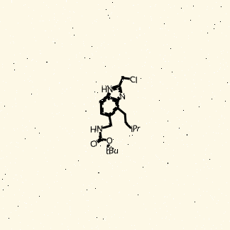 CC(C)CCc1c(CNC(=O)OC(C)(C)C)ccc2[nH]c(CCl)nc12